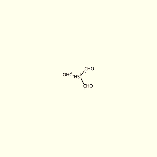 O=C[SiH](C=O)C=O